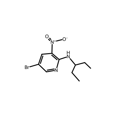 CCC(CC)Nc1ncc(Br)cc1[N+](=O)[O-]